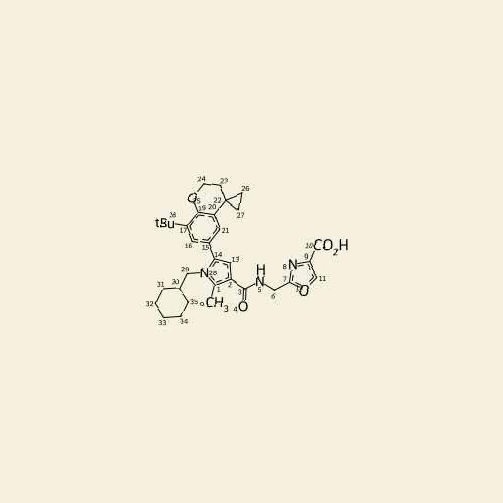 Cc1c(C(=O)NCc2nc(C(=O)O)co2)cc(-c2cc(C(C)(C)C)c3c(c2)C2(CCO3)CC2)n1CC1CCCCC1